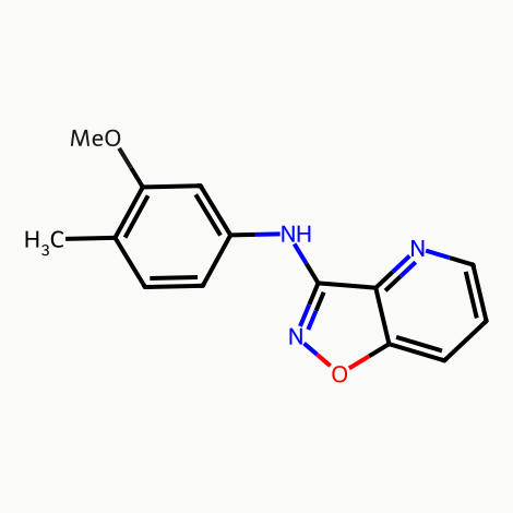 COc1cc(Nc2noc3cccnc23)ccc1C